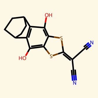 N#CC(C#N)=C1Sc2c(O)c3c(c(O)c2S1)C1CCC3CC1